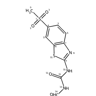 CS(=O)(=O)c1ccc2nc(NC(=O)NC=O)sc2c1